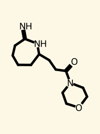 N=C1CCCCC(CCC(=O)N2CCOCC2)N1